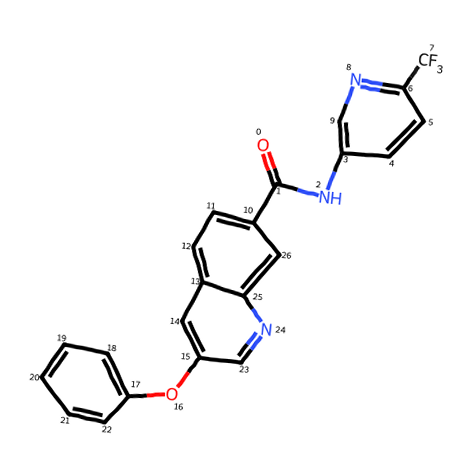 O=C(Nc1ccc(C(F)(F)F)nc1)c1ccc2cc(Oc3ccccc3)cnc2c1